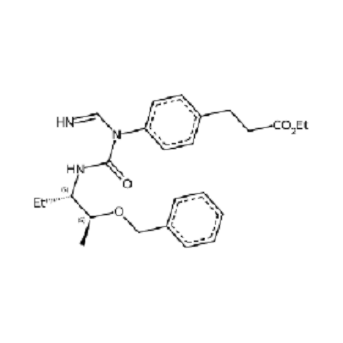 CCOC(=O)CCc1ccc(N(C=N)C(=O)N[C@@H](CC)[C@H](C)OCc2ccccc2)cc1